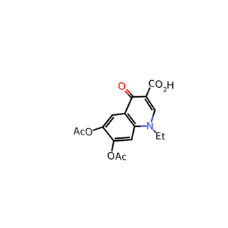 CCn1cc(C(=O)O)c(=O)c2cc(OC(C)=O)c(OC(C)=O)cc21